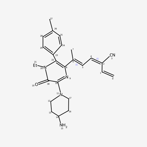 C=C/C(C#N)=C\C=C(/C)c1nc(N2CCC(N)CC2)c(=O)n(CC)c1-c1ccc(C)cc1